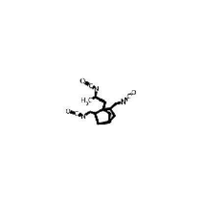 CC(CC12CC(CC1CN=C=O)CC2CN=C=O)N=C=O